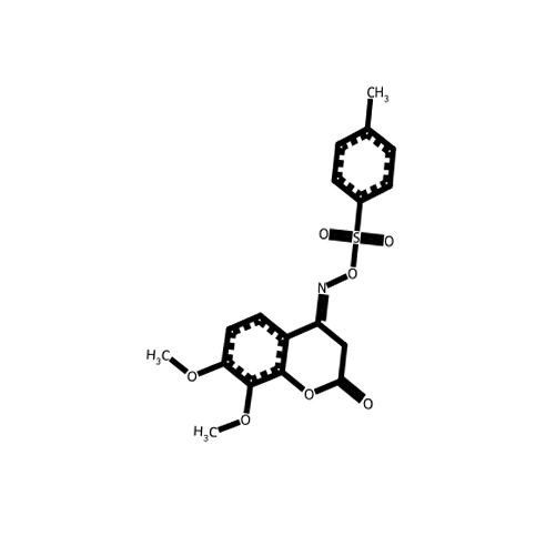 COc1ccc2c(c1OC)OC(=O)CC2=NOS(=O)(=O)c1ccc(C)cc1